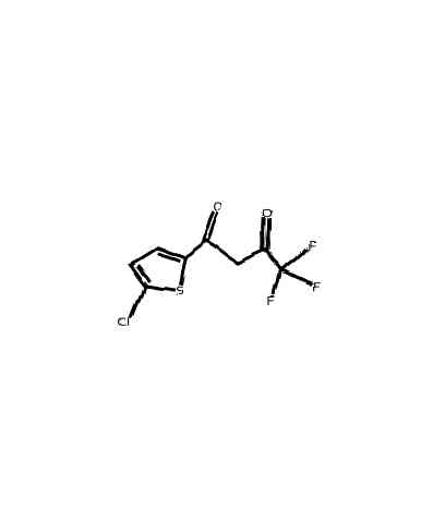 O=C(CC(=O)C(F)(F)F)c1ccc(Cl)s1